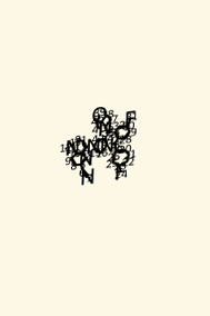 C/C=C(\c1nc(C#N)ccc1N(C)C)N1CCN(C(C2=CCCC(F)C=C2)c2ccc(F)cc2)[C@H](CN2CCOCC2)C1